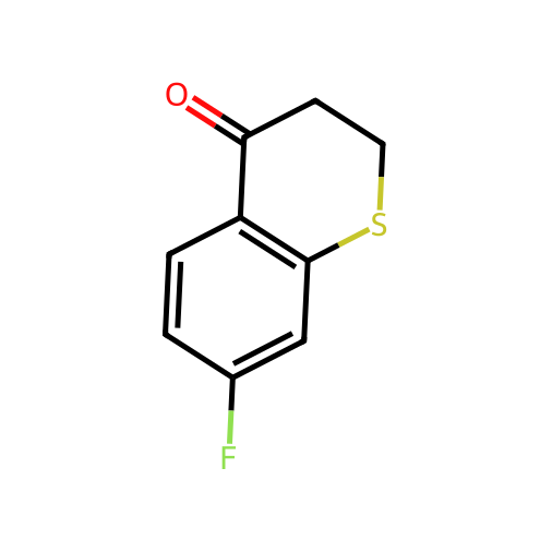 O=C1CCSc2cc(F)ccc21